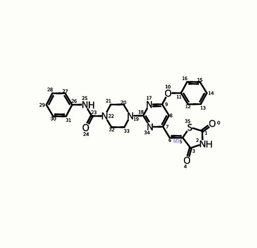 O=C1NC(=O)/C(=C/c2cc(Oc3ccccc3)nc(N3CCN(C(=O)Nc4ccccc4)CC3)n2)S1